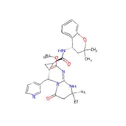 CCC1(CC)CC(=O)N(C(c2cccnc2)[C@@H]2C[C@H]2C(=O)N[C@H]2CC(C)(C)Oc3ccccc32)/C(=N\C(=O)OC(C)(C)C)N1